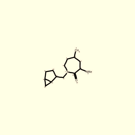 CNC1CC(C)CCN(CC2CCC3CC32)C1=O